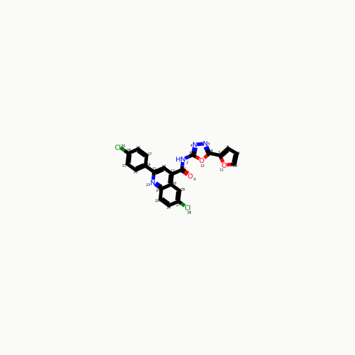 O=C(Nc1nnc(-c2ccco2)o1)c1cc(-c2ccc(Cl)cc2)nc2ccc(Cl)cc12